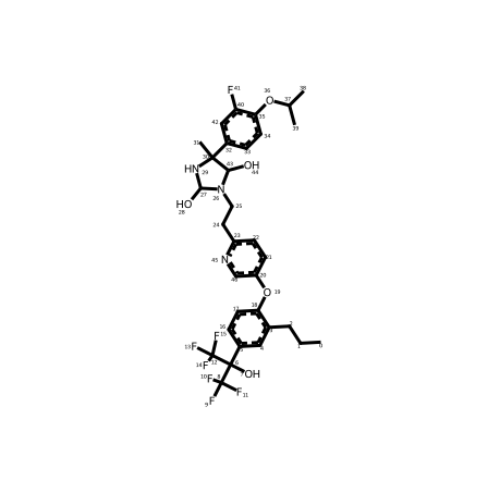 CCCc1cc(C(O)(C(F)(F)F)C(F)(F)F)ccc1Oc1ccc(CCN2C(O)NC(C)(c3ccc(OC(C)C)c(F)c3)C2O)nc1